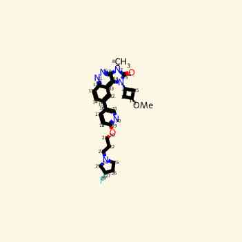 CO[C@H]1C[C@@H](n2c(=O)n(C)c3nnc4ccc(-c5ccc(OCCCN6CC[C@@H](F)C6)nc5)cc4c32)C1